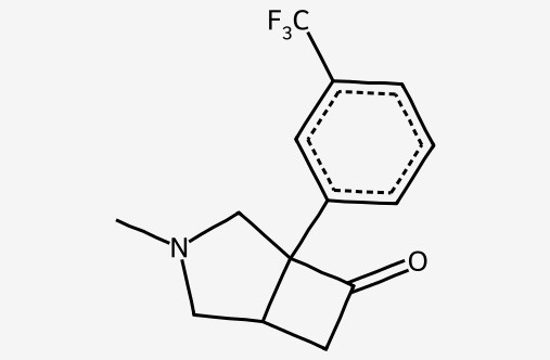 CN1CC2CC(=O)C2(c2cccc(C(F)(F)F)c2)C1